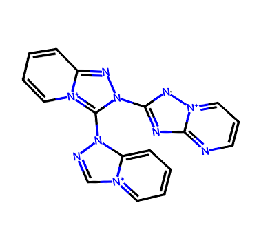 c1cc[n+]2cnn(-c3n(C4=Nc5nccc[n+]5[N]4)nc4cccc[n+]34)c2c1